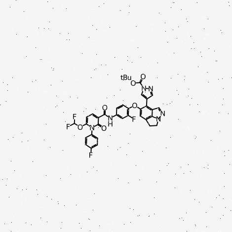 CC(C)(C)OC(=O)n1cc(-c2c(Oc3ccc(NC(=O)c4ccc(OC(F)F)n(-c5ccc(F)cc5)c4=O)cc3F)cc3c4c2cnn4CC3)cn1